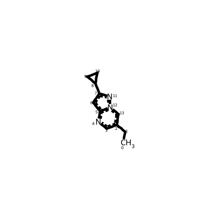 CCc1cnc2cc(C3CC3)nn2c1